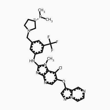 CN(C)[C@H]1CCN(Cc2cc(Nc3nc4ncc(Oc5cnn6ccncc56)c(Cl)c4n3C)cc(C(F)(F)F)c2)C1